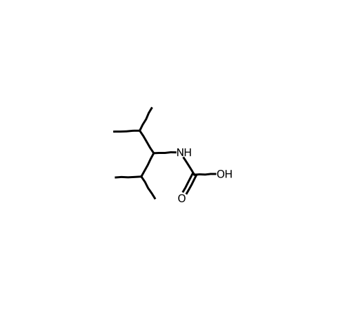 CC(C)C(NC(=O)O)C(C)C